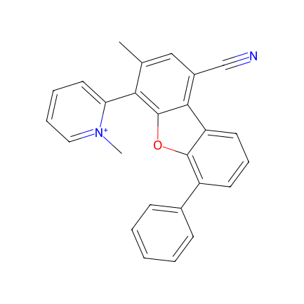 Cc1cc(C#N)c2c(oc3c(-c4ccccc4)cccc32)c1-c1cccc[n+]1C